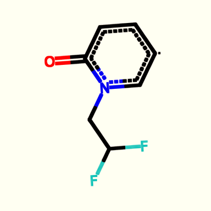 O=c1cc[c]cn1CC(F)F